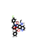 CCN(C)c1c2c(c(OC(c3ccccc3)c3ccccc3)c3ncccc13)C(=O)N(Cc1ccc(F)cc1)C2=O